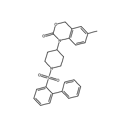 Cc1ccc2c(c1)COC(=O)N2C1CCN(S(=O)(=O)c2ccccc2-c2ccccc2)CC1